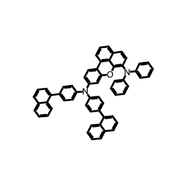 c1ccc(N(c2ccccc2)c2ccc3cccc4c3c2Oc2cc(N(c3ccc(-c5cccc6ccccc56)cc3)c3ccc(-c5cccc6ccccc56)cc3)ccc2-4)cc1